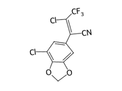 N#C/C(=C(/Cl)C(F)(F)F)c1cc(Cl)c2c(c1)OCO2